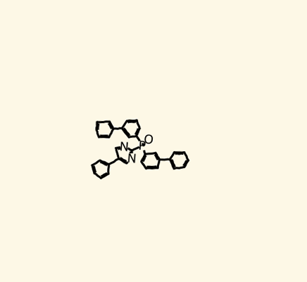 O=P(c1cccc(-c2ccccc2)c1)(c1cccc(-c2ccccc2)c1)c1ncc(-c2ccccc2)cn1